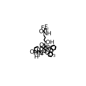 CO[C@@H]1[C@H](O[Si](c2ccccc2)(c2ccccc2)C(C)(C)C)[C@@H](C(O)CCCNC(=O)C(F)(F)F)O[C@H]1n1ccc(=O)[nH]c1=O